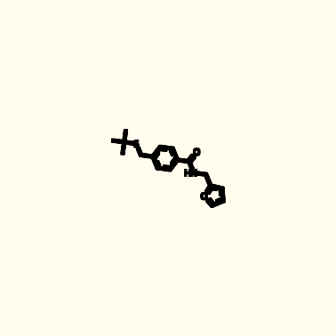 CC(C)(C)SCc1ccc(C(=O)NCc2ccco2)cc1